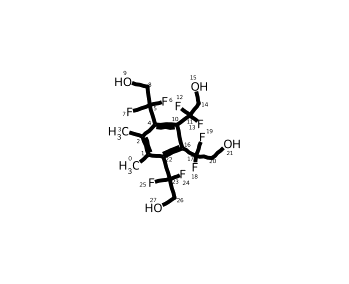 Cc1c(C)c(C(F)(F)CO)c(C(F)(F)CO)c(C(F)(F)CO)c1C(F)(F)CO